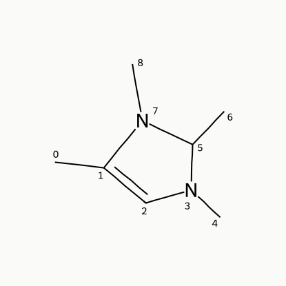 CC1=CN(C)C(C)N1C